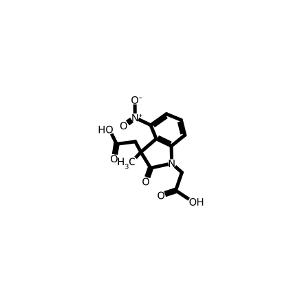 CC1(CC(=O)O)C(=O)N(CC(=O)O)c2cccc([N+](=O)[O-])c21